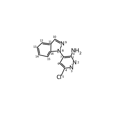 Nc1nnc(Cl)cc1-n1ncc2ccccc21